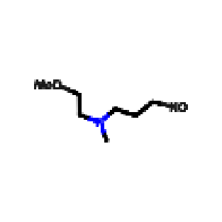 COCCN(C)CCCN=O